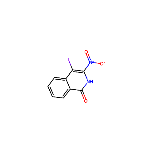 O=c1[nH]c([N+](=O)[O-])c(I)c2ccccc12